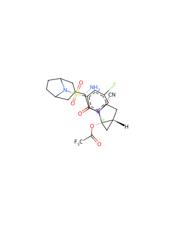 N#C[C@@H]1C[C@@H]2C[C@@]2(OC(=O)C(F)(F)F)N1C(=O)[C@@H](N)C1CC2CCC(C1)N2S(=O)(=O)c1cc(F)cc(F)c1